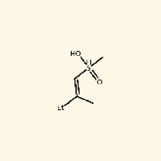 CCC(C)=C[SH](C)(=O)O